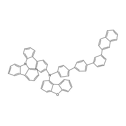 c1cc(-c2ccc(-c3ccc(N(c4ccc(-c5ccccc5-n5c6ccccc6c6ccccc65)cc4)c4cccc5oc6ccccc6c45)cc3)cc2)cc(-c2ccc3ccccc3c2)c1